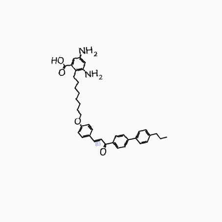 CCCc1ccc(-c2ccc(C(=O)/C=C/c3ccc(OCCCCCCCCc4c(N)cc(N)cc4C(=O)O)cc3)cc2)cc1